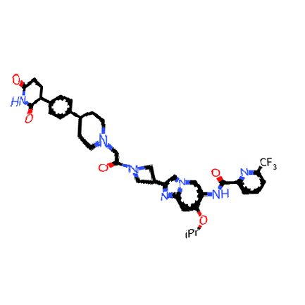 CC(C)Oc1cc2nc(C3CN(C(=O)CN4CCC(c5ccc(C6CCC(=O)NC6=O)cc5)CC4)C3)cn2cc1NC(=O)c1cccc(C(F)(F)F)n1